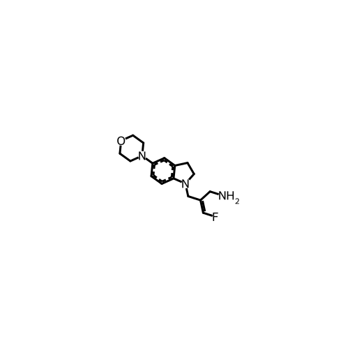 NC/C(=C\F)CN1CCc2cc(N3CCOCC3)ccc21